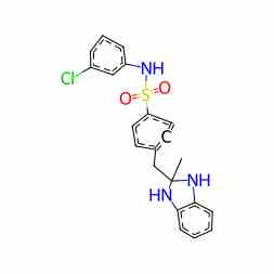 CC1(Cc2ccc(S(=O)(=O)Nc3cccc(Cl)c3)cc2)Nc2ccccc2N1